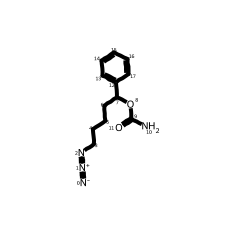 [N-]=[N+]=NCCCCC(OC(N)=O)c1ccccc1